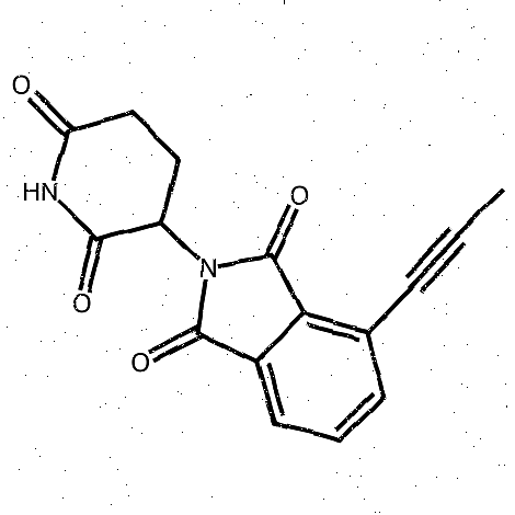 CC#Cc1cccc2c1C(=O)N(C1CCC(=O)NC1=O)C2=O